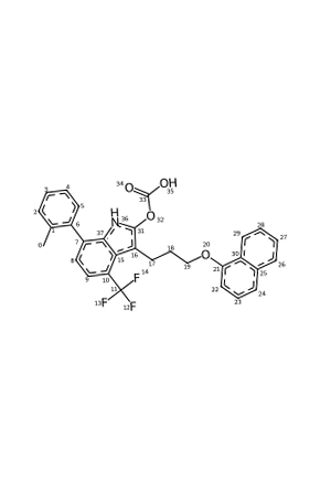 Cc1ccccc1-c1ccc(C(F)(F)F)c2c(CCCOc3cccc4ccccc34)c(OC(=O)O)[nH]c12